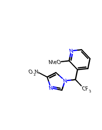 COc1ncccc1C(n1cnc([N+](=O)[O-])c1)C(F)(F)F